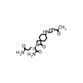 CC(=O)NCNC1CCC2(CC1)CN([C@@H](CCC(N)=O)C(N)=O)C2=O